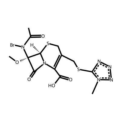 CO[C@@]1(N(Br)C(C)=O)C(=O)N2C(C(=O)O)=C(CSc3nnnn3C)CS[C@@H]21